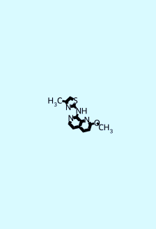 COc1ccc2ccnc(Nc3nc(C)cs3)c2n1